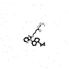 CCOC(=O)CCCSc1nc2cccnc2n1-c1cccc2c(C3CC34CC4)cccc12